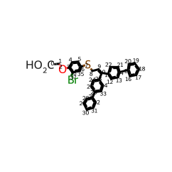 O=C(O)COc1ccc(SCC=C(c2ccc(-c3ccccc3)cc2)c2ccc(-c3ccccc3)cc2)cc1Br